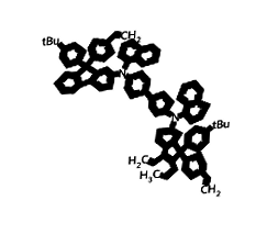 C=CC1=C(/C=C\C)C(c2ccc(C=C)cc2)(c2ccc(C(C)(C)C)cc2)c2cc(N(c3ccc(-c4ccc(N(c5ccc6c(c5)C(c5ccc(C=C)cc5)(c5ccc(C(C)(C)C)cc5)c5ccccc5-6)c5cccc6ccccc56)cc4)cc3)c3cccc4ccccc34)ccc21